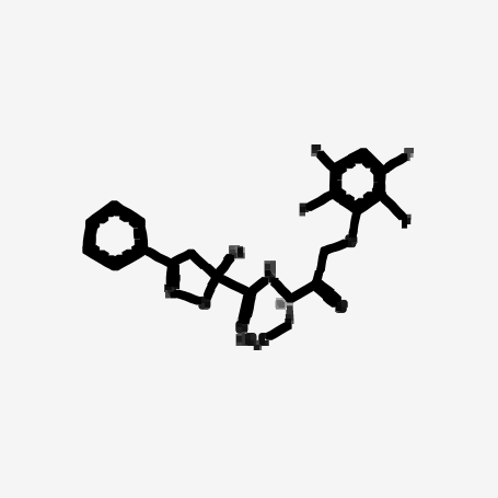 CCC1(C(=O)N[C@@H](CC(=O)O)C(=O)COc2c(F)c(F)cc(F)c2F)CC(c2ccccc2)=NO1